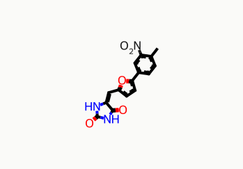 Cc1ccc(-c2ccc(/C=C3/NC(=O)NC3=O)o2)cc1[N+](=O)[O-]